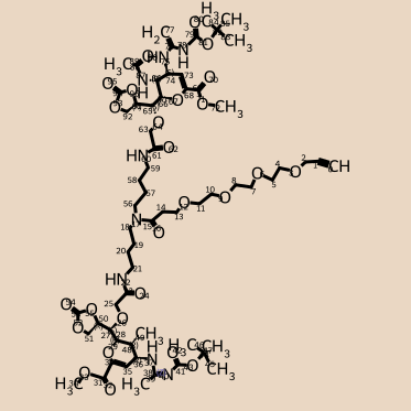 C#CCOCCOCCOCCOCCC(=O)N(CCCCNC(=O)CO[C@@H]([C@@H]1OC(C(=O)OC)=C[C@H](N/C(C)=N\C(=O)OC(C)(C)C)[C@H]1C)[C@H]1COC(=O)O1)CCCCNC(=O)CO[C@@H]([C@@H]1OC(C(=O)OC)=C[C@H](NC(=C)NC(=O)OC(C)(C)C)[C@H]1NC(C)=O)[C@H]1COC(=O)O1